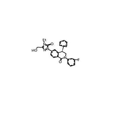 CCn1c(CO)nn(-c2ccc3c(c2)[C@@H](c2ccccc2)CN(c2cccc(F)c2)C3=O)c1=O